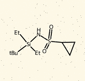 CC[Si](CC)(NS(=O)(=O)C1CC1)C(C)(C)C